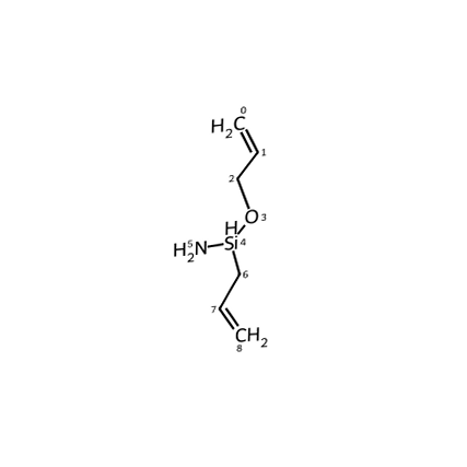 C=CCO[SiH](N)CC=C